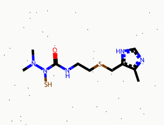 Cc1nc[nH]c1CSCCNC(=O)N(S)N(C)C